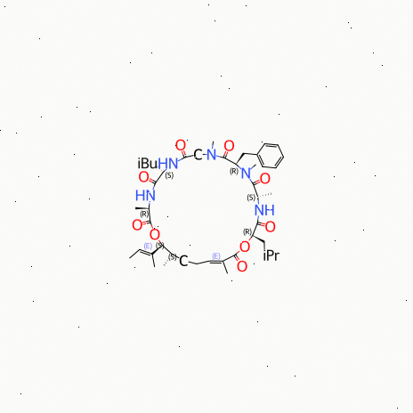 C/C=C(\C)[C@H]1OC(=O)[C@@H](C)NC(=O)[C@H](C(C)CC)NC(=O)CN(C)C(=O)[C@@H](Cc2ccccc2)N(C)C(=O)[C@H](C)NC(=O)[C@@H](CC(C)C)OC(=O)/C(C)=C/CC[C@@H]1C